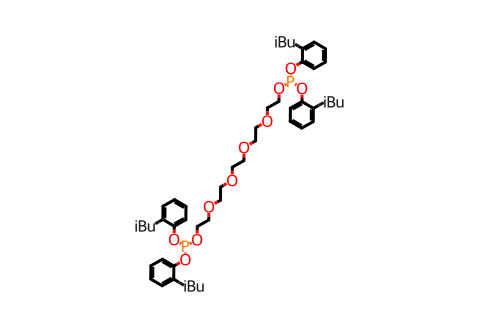 CCC(C)c1ccccc1OP(OCCOCCOCCOCCOCCOP(Oc1ccccc1C(C)CC)Oc1ccccc1C(C)CC)Oc1ccccc1C(C)CC